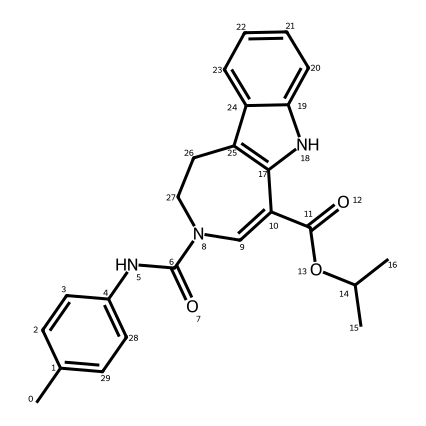 Cc1ccc(NC(=O)N2C=C(C(=O)OC(C)C)c3[nH]c4ccccc4c3CC2)cc1